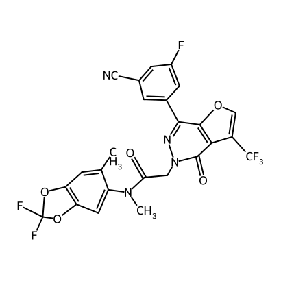 Cc1cc2c(cc1N(C)C(=O)Cn1nc(-c3cc(F)cc(C#N)c3)c3occ(C(F)(F)F)c3c1=O)OC(F)(F)O2